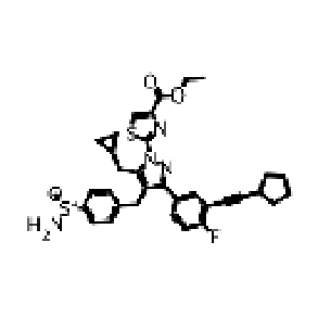 CCOC(=O)c1csc(-n2nc(-c3ccc(F)c(C#CC4CCCC4)c3)c(Cc3ccc([S+](N)[O-])cc3)c2CC2CC2)n1